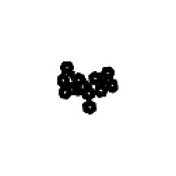 c1ccc(-c2ccc(N(c3ccc4c(c3)C(c3ccccc3)(c3ccccc3)c3ccccc3-4)c3ccc4c(c3)C3(c5ccccc5-c5ccccc53)c3cccc5c6ccccc6n-4c35)cc2)cc1